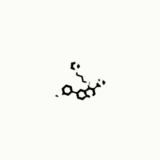 COc1cccc(-c2ccc3ncc(-c4nnco4)c(NCCCn4ccnc4)c3c2)c1